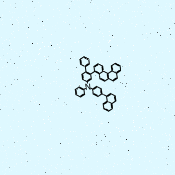 c1ccc(-c2ccc(N(c3ccccc3)c3ccc(-c4cccc5ccccc45)cc3)cc2-c2cccc3c2ccc2ccc4ccccc4c23)cc1